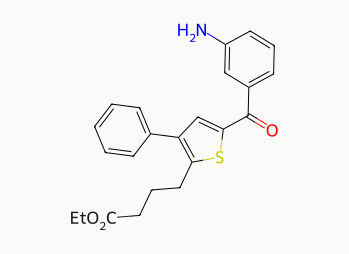 CCOC(=O)CCCc1sc(C(=O)c2cccc(N)c2)cc1-c1ccccc1